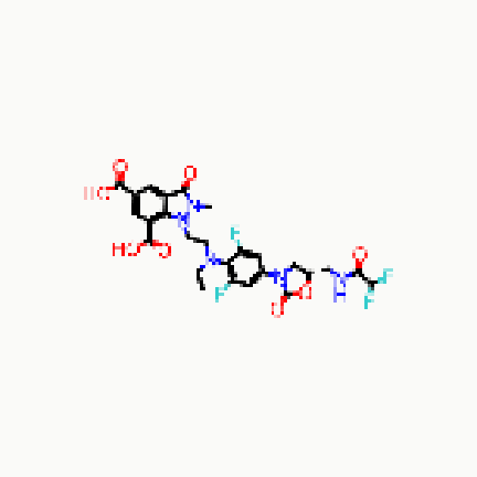 CCN(CCn1c2c(C(=O)O)cc(C(=O)O)cc2c(=O)n1C)c1c(F)cc(N2C[C@H](CNC(=O)C(F)F)OC2=O)cc1F